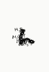 CC[C@H]1CN(C(C)c2ccc3ncc(C)nc3c2)[C@H](CC)CN1c1nc(=O)n(C)c2c1nc(COCc1ccccc1)n2C